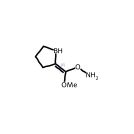 CO/C(ON)=C1/BCCC1